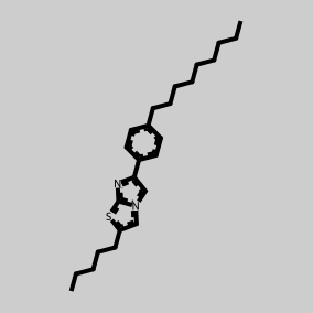 CCCCCCCCCc1ccc(-c2cn3cc(CCCCC)sc3n2)cc1